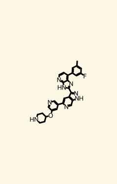 Cc1cc(F)cc(-c2ccnc3[nH]c(-c4n[nH]c5cnc(-c6cncc(OC7CCNCC7)c6)cc45)nc23)c1